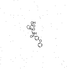 O=C(NCC(=O)N1CCCC1C(=O)O)c1ccc(Oc2ccccc2)cc1